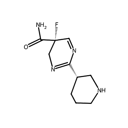 NC(=O)[C@@]1(F)C=NC([C@H]2CCCNC2)=NC1